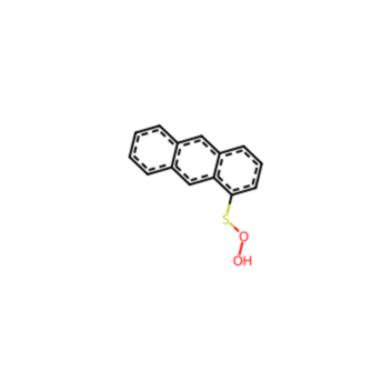 OOSc1cccc2cc3ccccc3cc12